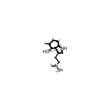 Cc1ccc2[nH]cc(CCN(C)C(C)C)c2c1O